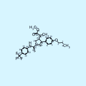 CCCOc1ccc(C2=NN(C(=S)Nc3ccc(C(F)(F)F)cc3)CC2N(C)C(=O)OC)cc1